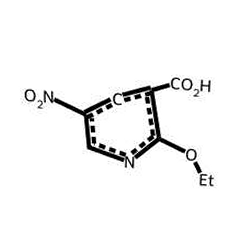 CCOc1ncc([N+](=O)[O-])cc1C(=O)O